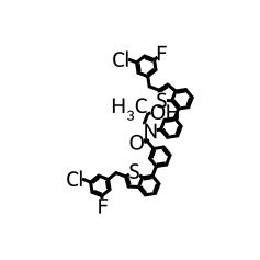 CC(O)CN(C(=O)c1cccc(-c2cccc3cc(Cc4cc(F)cc(Cl)c4)sc23)c1)c1cccc(-c2cccc3cc(Cc4cc(F)cc(Cl)c4)sc23)c1